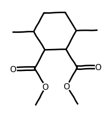 COC(=O)C1C(C)CCC(C)C1C(=O)OC